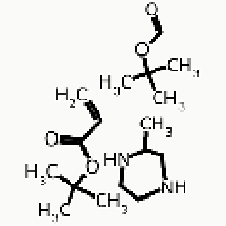 C=CC(=O)OC(C)(C)C.CC(C)(C)OC=O.CC1CNCCN1